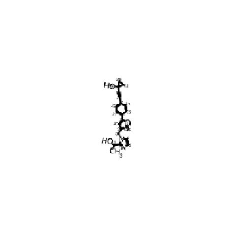 CC(O)c1nccn1Cc1cc(-c2ccc(C#CC3(O)CC3)cc2)on1